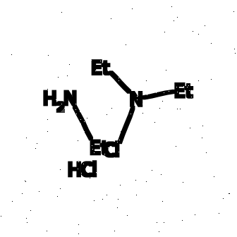 CCN.CCN(Cl)CC.Cl